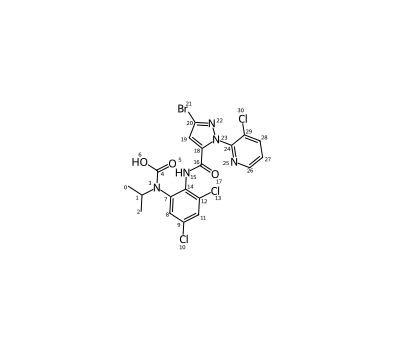 CC(C)N(C(=O)O)c1cc(Cl)cc(Cl)c1NC(=O)c1cc(Br)nn1-c1ncccc1Cl